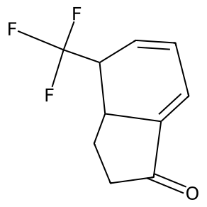 O=C1CCC2C1=CC=CC2C(F)(F)F